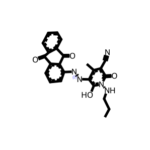 CCCNn1c(O)c(/N=N/c2cccc3c2C(=O)c2ccccc2C3=O)c(C)c(C#N)c1=O